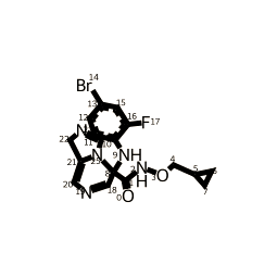 O=C(NOCC1CC1)C1(Nc2ccc(Br)cc2F)C=NC=C2CN=CN21